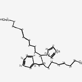 CCCCCCCCCCCCCCCCCCC(C(CCCCCCCCCCCCCCCC)Cc1ccccc1)n1ccnc1